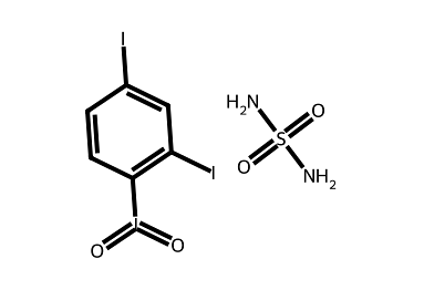 NS(N)(=O)=O.O=I(=O)c1ccc(I)cc1I